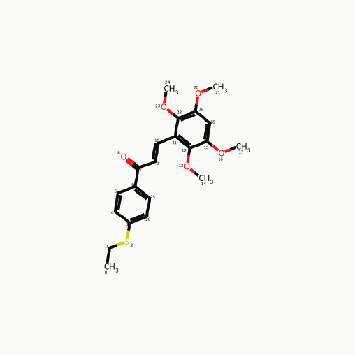 CCSc1ccc(C(=O)/C=C/c2c(OC)c(OC)cc(OC)c2OC)cc1